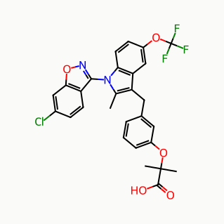 Cc1c(Cc2cccc(OC(C)(C)C(=O)O)c2)c2cc(OC(F)(F)F)ccc2n1-c1noc2cc(Cl)ccc12